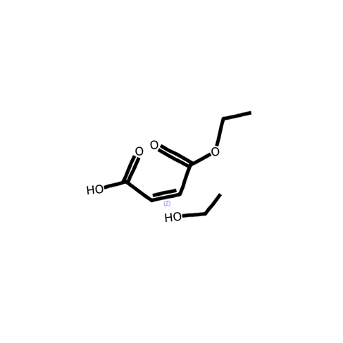 CCO.CCOC(=O)/C=C\C(=O)O